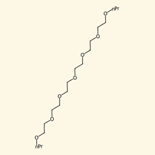 CCCOCCOCCOCCOCCOCCOCCOCCC